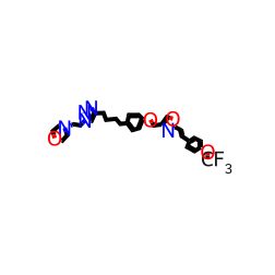 FC(F)(F)Oc1ccc(/C=C/c2nc(COc3ccc(CCCCc4cn(CCN5CCOCC5)nn4)cc3)co2)cc1